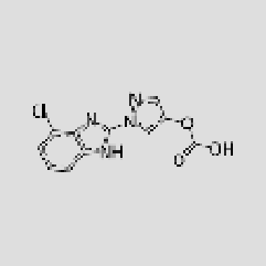 O=C(O)Oc1cnn(-c2nc3c(Cl)cccc3[nH]2)c1